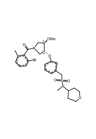 CO[C@@H]1CN(C(=O)c2c(C)cccc2Br)C[C@H]1Oc1cccc(CS(=O)(=O)N(C)C2CCOCC2)c1